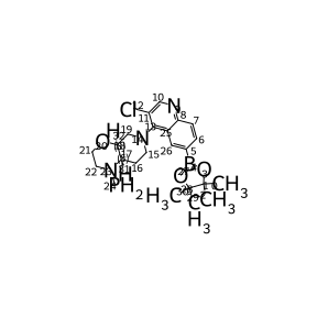 CC1(C)OB(c2ccc3ncc(Cl)c(N4CC[C@H]5[C@H](C4)OCCN5P)c3c2)OC1(C)C